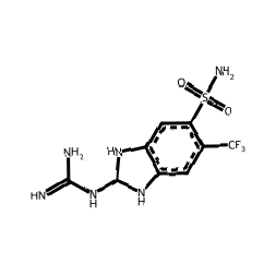 N=C(N)NC1Nc2cc(C(F)(F)F)c(S(N)(=O)=O)cc2N1